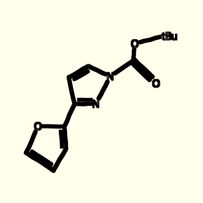 CC(C)(C)OC(=O)n1ccc(-c2ccco2)n1